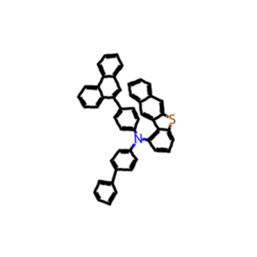 c1ccc(-c2ccc(N(c3ccc(-c4cc5ccccc5c5ccccc45)cc3)c3cccc4sc5cc6ccccc6cc5c34)cc2)cc1